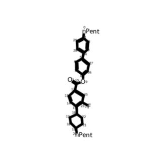 CCCCCc1ccc(-c2ccc(OC(=O)c3ccc(C4CCC(CCCCC)CC4)c(F)c3)cc2)cc1